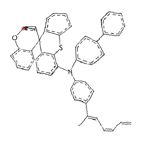 C=C/C=C\C=C(/C)c1ccc(N(c2ccc(-c3ccccc3)cc2)c2cccc3c2Sc2ccccc2C32c3ccccc3Oc3ccccc32)cc1